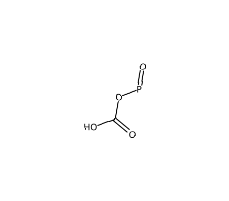 O=POC(=O)O